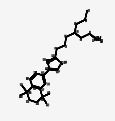 CCCC(CCN)CCCc1nc(-c2ccc3c(c2)C(C)(C)CCC3(C)C)cs1